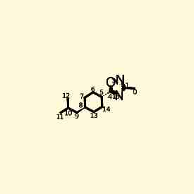 Cc1noc([C@H]2CC[C@H](CC(C)C)CC2)n1